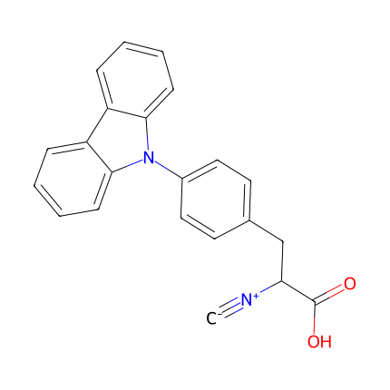 [C-]#[N+]C(Cc1ccc(-n2c3ccccc3c3ccccc32)cc1)C(=O)O